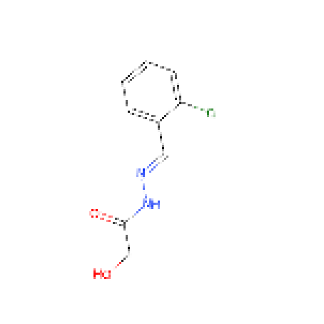 O=C(CO)N/N=C/c1ccccc1Cl